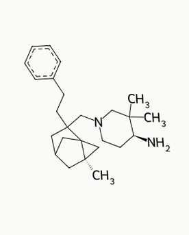 CC1(C)CN(CC2(CCc3ccccc3)CC3CC24C[C@@]4(C)C3)CC[C@@H]1N